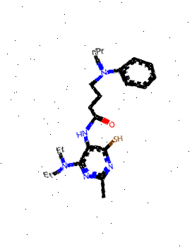 CCCN(CCCC(=O)Nc1c(S)nc(C)nc1N(CC)CC)c1ccccc1